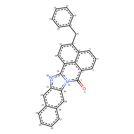 O=c1c2cccc3c(Cc4ccccc4)ccc(c32)c2nc3cc4ccccc4cc3n12